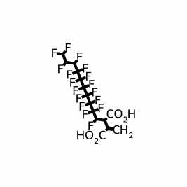 C=C(C(=O)O)C(C(=O)O)C(F)C(F)(F)C(F)(F)C(F)(F)C(F)(F)C(F)(F)C(F)(F)C(F)C(F)C(F)F